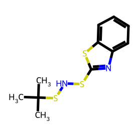 CC(C)(C)SNSc1nc2ccccc2s1